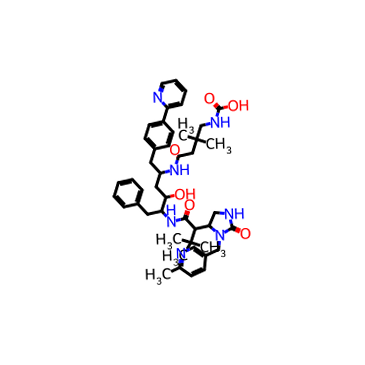 Cc1ccc(CN2C(=O)NCC2C(C(=O)NC(Cc2ccccc2)C(O)CC(Cc2ccc(-c3ccccn3)cc2)NC(=O)CC(C)(C)CNC(=O)O)C(C)(C)C)cn1